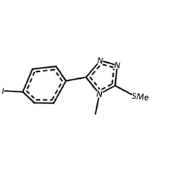 CSc1nnc(-c2ccc(I)cc2)n1C